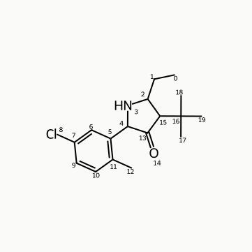 CCC1NC(c2cc(Cl)ccc2C)C(=O)C1C(C)(C)C